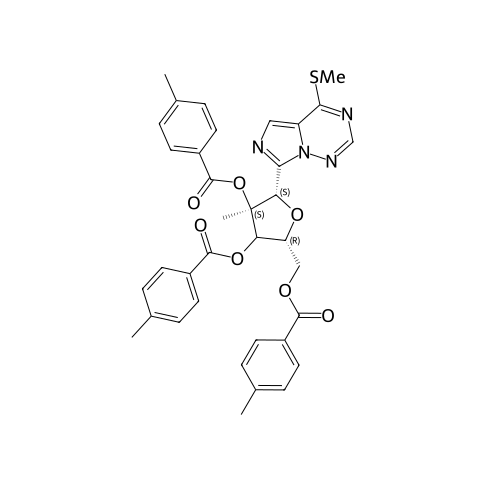 CSc1ncnn2c([C@@H]3O[C@H](COC(=O)c4ccc(C)cc4)C(OC(=O)c4ccc(C)cc4)[C@@]3(C)OC(=O)c3ccc(C)cc3)ncc12